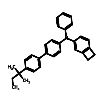 CCC(C)(C)c1ccc(-c2ccc(N(c3ccccc3)c3ccc4c(c3)CC4)cc2)cc1